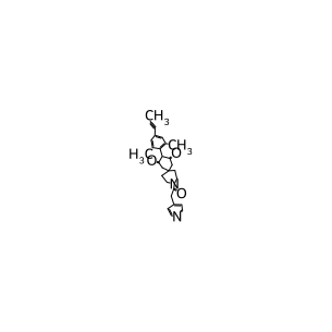 CC#Cc1cc(C)c(C2C(=O)CC3(CCN(C(=O)Cc4ccncc4)CC3)CC2=O)c(C)c1